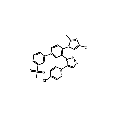 Cc1nc(Cl)cn1-c1ccc(-c2cccc(S(C)(=O)=O)c2)cc1-n1nncc1-c1ccc(Cl)cc1